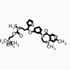 Cc1cc2c(cn1)C(=O)N(c1cccc(OC(CCN(C)C(=O)OCC[Si](C)(C)C)c3cccs3)c1)CCN2C